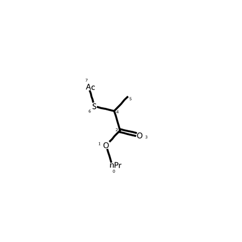 CCCOC(=O)C(C)SC(C)=O